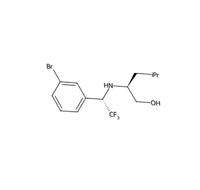 CC(C)C[C@@H](CO)N[C@@H](c1cccc(Br)c1)C(F)(F)F